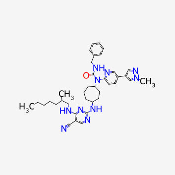 CCCCCC(C)CNc1nc(N[C@H]2CCC[C@H](N(C(=O)NCc3ccccc3)c3ccc(-c4cnn(C)c4)cn3)CC2)ncc1C#N